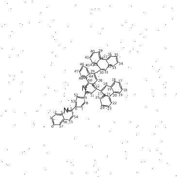 c1ccc2nc(-c3ccc(-c4cc(-c5cc6ccccc6c6ccccc56)c5cc(-c6cc7ccccc7c7ccccc67)c6ccccc6c5n4)cc3)ccc2c1